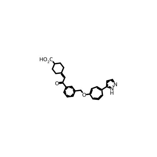 O=C(C=C1CCC(C(=O)O)CC1)c1cccc(COC2=CC=C(c3ccn[nH]3)C=C=C2)c1